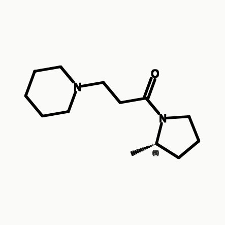 C[C@H]1CCCN1C(=O)CCN1CCCCC1